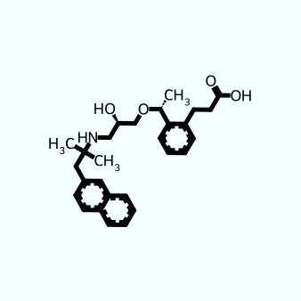 C[C@@H](OC[C@H](O)CNC(C)(C)Cc1ccc2ccccc2c1)c1ccccc1CCC(=O)O